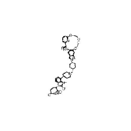 Cn1c(=O)n(C2CCC(=O)NC2=O)c2cccc(C3CCN(C[C@H]4CC[C@H](n5cc6cc7c(cc6n5)OCCOCCOc5cccc(n5)C(=O)N7)CC4)CC3)c21